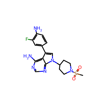 CS(=O)(=O)N1CCC(n2cc(-c3ccc(N)c(F)c3)c3c(N)ncnc32)CC1